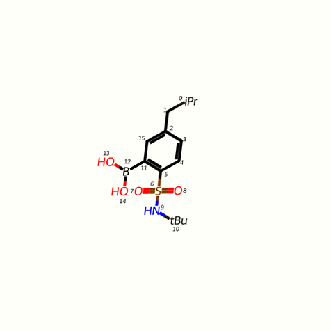 CC(C)Cc1ccc(S(=O)(=O)NC(C)(C)C)c(B(O)O)c1